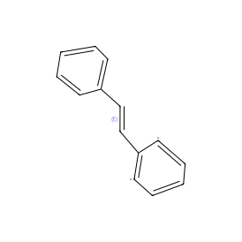 [c]1ccc[c]c1/C=C/c1ccccc1